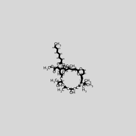 C=C1C[C@H](O)CCO[C@H](C(C)(C)C)C[C@@H]2CCO[C@H](/C=C/C(C)(C)[C@]3(O)O[C@@H](C/C(=C\C(=O)OC)[C@@H]3OC(=O)CCCCCCC)C[C@H]([C@@H](C)O)O1)O2